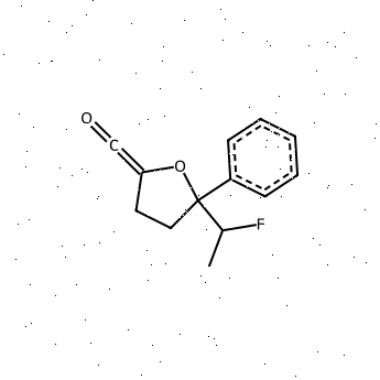 CC(F)C1(c2ccccc2)CCC(=C=O)O1